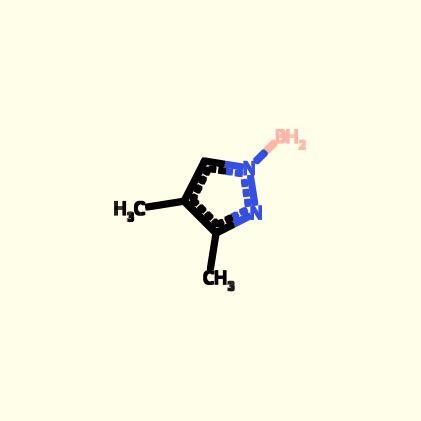 Bn1cc(C)c(C)n1